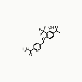 CC(=O)c1ccc(OCc2ccc(C(N)=O)nc2)c(C(F)(F)F)c1O